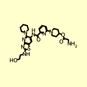 NCC(=O)OC1CCN(c2cccc(C(=O)Nc3cc4sc(NCCO)nc4nc3N3CCCCC3)n2)CC1